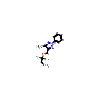 CCC(F)(F)OCc1nn(-c2ccccc2)nc1C